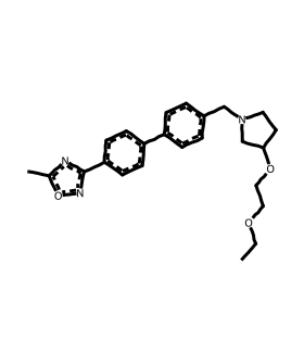 CCOCCOC1CCN(Cc2ccc(-c3ccc(-c4noc(C)n4)cc3)cc2)C1